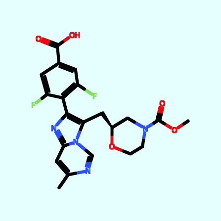 COC(=O)N1CCO[C@@H](Cc2c(-c3c(F)cc(C(=O)O)cc3F)nc3cc(C)ncn23)C1